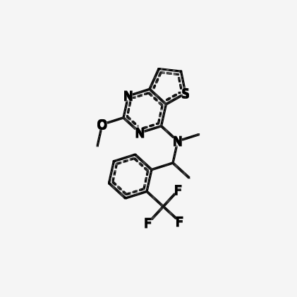 COc1nc(N(C)C(C)c2ccccc2C(F)(F)F)c2sccc2n1